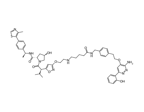 Cc1ncsc1-c1ccc([C@H](C)NC(=O)[C@@H]2C[C@@H](O)CN2C(=O)[C@@H](c2cc(OCCNCCCCC(=O)NCc3ccc(CCOc4cc(-c5ccccc5O)nnc4N)cc3)no2)C(C)C)cc1